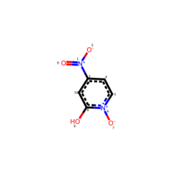 O=[N+]([O-])c1cc[n+]([O-])c(O)c1